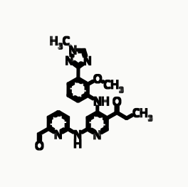 CCC(=O)c1cnc(Nc2cccc(C=O)n2)cc1Nc1cccc(-c2ncn(C)n2)c1OC